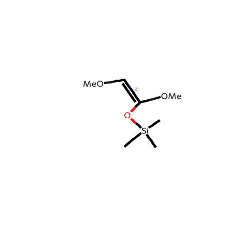 CO/C=C(/OC)O[Si](C)(C)C